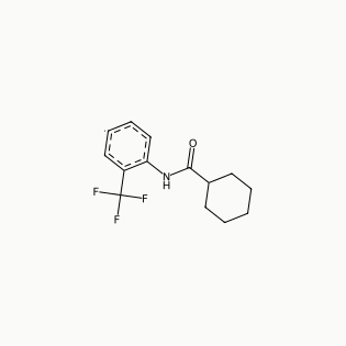 O=C(Nc1cc[c]cc1C(F)(F)F)C1CCCCC1